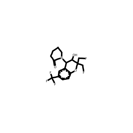 O=C1CCCCN1C1c2cc(C(F)(F)F)ccc2OC(CF)(CF)C1O